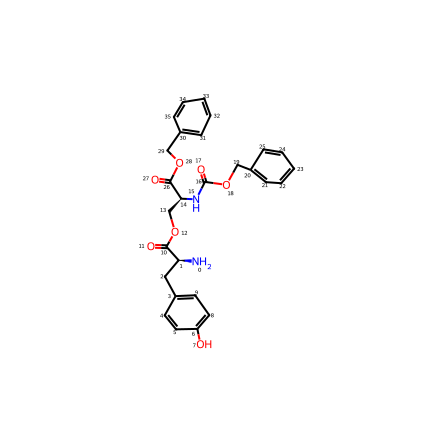 N[C@@H](Cc1ccc(O)cc1)C(=O)OC[C@H](NC(=O)OCc1ccccc1)C(=O)OCc1ccccc1